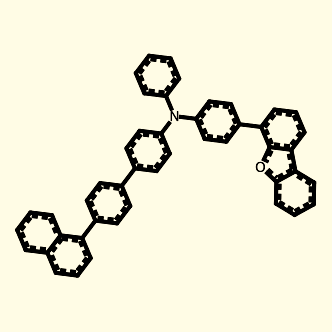 c1ccc(N(c2ccc(-c3ccc(-c4cccc5ccccc45)cc3)cc2)c2ccc(-c3cccc4c3oc3ccccc34)cc2)cc1